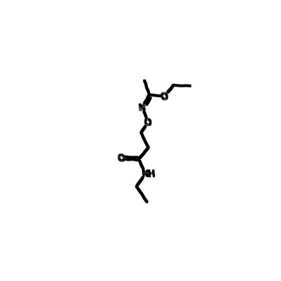 CCNC(=O)CCON=C(C)OCC